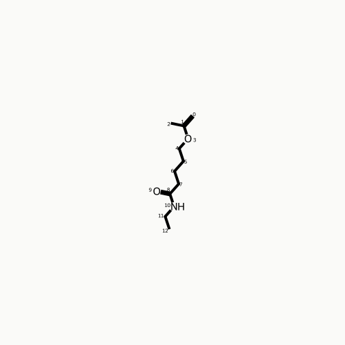 C=C(C)OCCCCC(=O)NCC